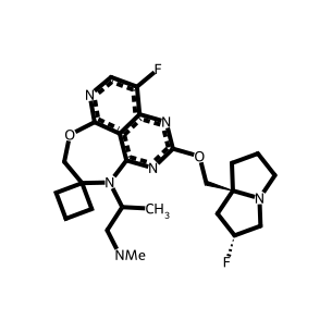 CNCC(C)N1c2nc(OC[C@@]34CCCN3C[C@H](F)C4)nc3c(F)cnc(c23)OCC12CCC2